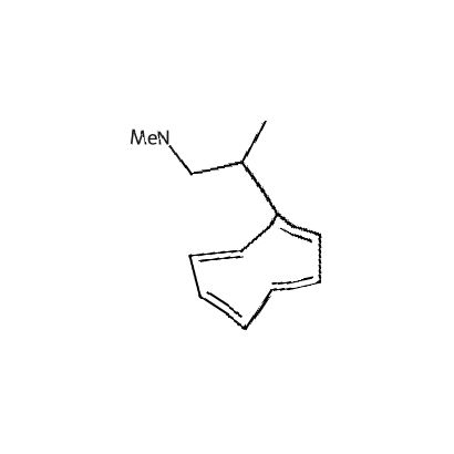 CNCC(C)C1=C/C=C/C=C\C=C\1